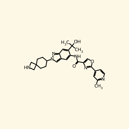 Cc1cc(-c2nc(C(=O)Nc3cc4cn(C5CCC6(CC5)CNC6)nc4cc3C(C)(C)O)co2)ccn1